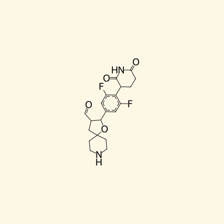 O=CC1CC2(CCNCC2)OC1c1cc(F)c(C2CCC(=O)NC2=O)c(F)c1